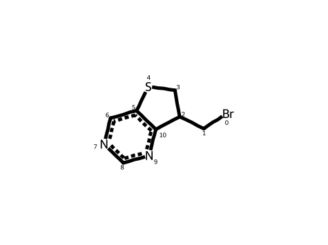 BrCC1CSc2cncnc21